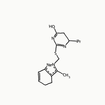 Cc1c2c(nn1CSC1=NC(C(C)C)CC(O)=N1)C=CCC2